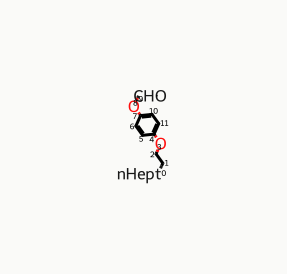 CCCCCCCCCOc1ccc(O[C]=O)cc1